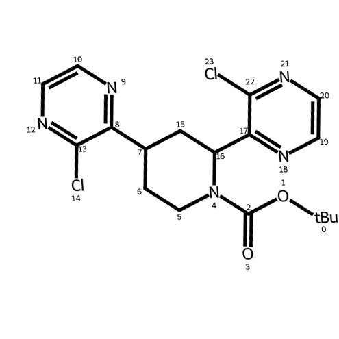 CC(C)(C)OC(=O)N1CCC(c2nccnc2Cl)CC1c1nccnc1Cl